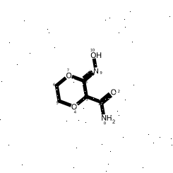 NC(=O)C1OCCOC1=NO